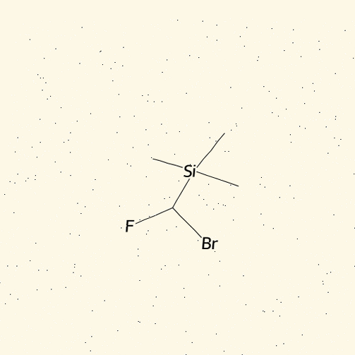 C[Si](C)(C)C(F)Br